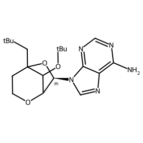 CC(C)(C)CC12CCOC(C1OC(C)(C)C)[C@H](n1cnc3c(N)ncnc31)O2